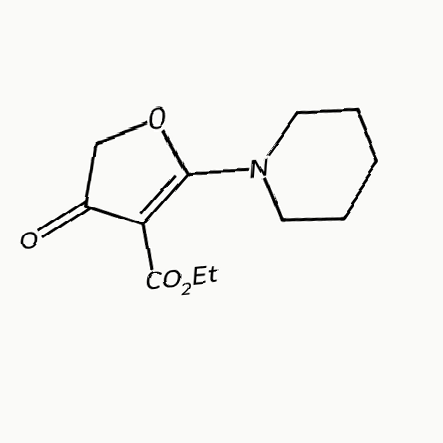 CCOC(=O)C1=C(N2CCCCC2)OCC1=O